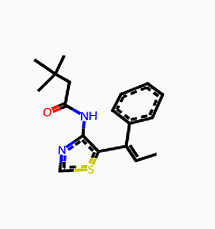 C/C=C(\c1ccccc1)c1scnc1NC(=O)CC(C)(C)C